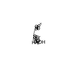 CC(C)C(NS(=O)(=O)c1cnc(N2CCC(CCCC3CCN(S(=O)(=O)c4ccc(C(C)(C)C)cc4)CC3)CC2)c(Br)c1)C(=O)O